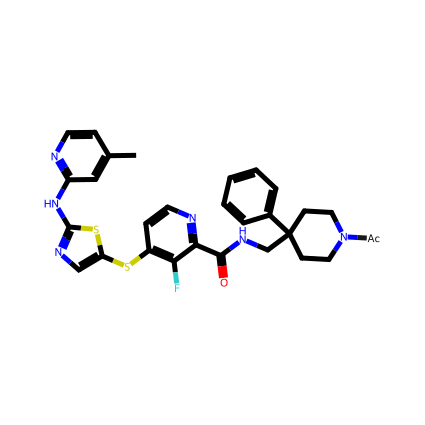 CC(=O)N1CCC(CNC(=O)c2nccc(Sc3cnc(Nc4cc(C)ccn4)s3)c2F)(c2ccccc2)CC1